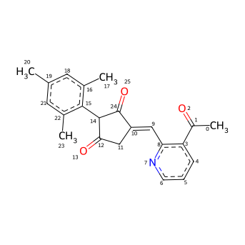 CC(=O)c1cccnc1C=C1CC(=O)C(c2c(C)cc(C)cc2C)C1=O